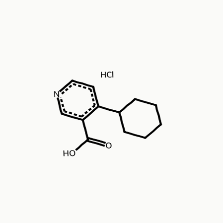 Cl.O=C(O)c1cnccc1C1CCCCC1